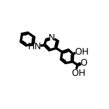 O=C(O)c1ccc(-c2cncc(Nc3ccccc3)c2)cc1O